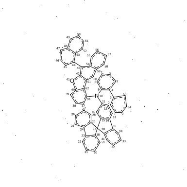 c1ccc(-c2ccccc2N(c2ccc3c(c2)C2(c4ccccc4-c4ccccc42)c2ccccc2-3)c2cccc3oc4c(-c5cccc6ccccc56)c5ccccc5cc4c23)cc1